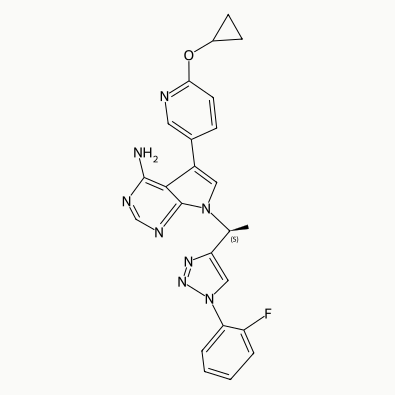 C[C@@H](c1cn(-c2ccccc2F)nn1)n1cc(-c2ccc(OC3CC3)nc2)c2c(N)ncnc21